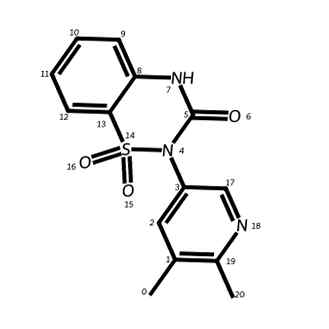 Cc1cc(N2C(=O)Nc3ccccc3S2(=O)=O)cnc1C